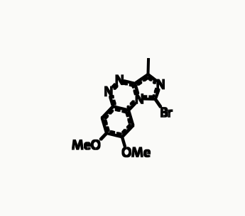 COc1cc2nnc3c(C)nc(Br)n3c2cc1OC